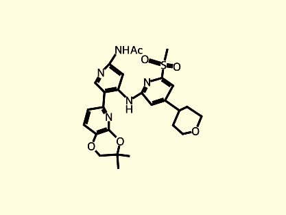 CC(=O)Nc1cc(Nc2cc(C3CCOCC3)cc(S(C)(=O)=O)n2)c(-c2ccc3c(n2)OC(C)(C)CO3)cn1